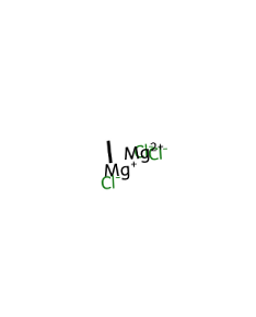 [CH3][Mg+].[Cl-].[Cl-].[Cl-].[Mg+2]